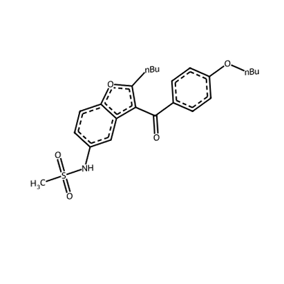 CCCCOc1ccc(C(=O)c2c(CCCC)oc3ccc(NS(C)(=O)=O)cc23)cc1